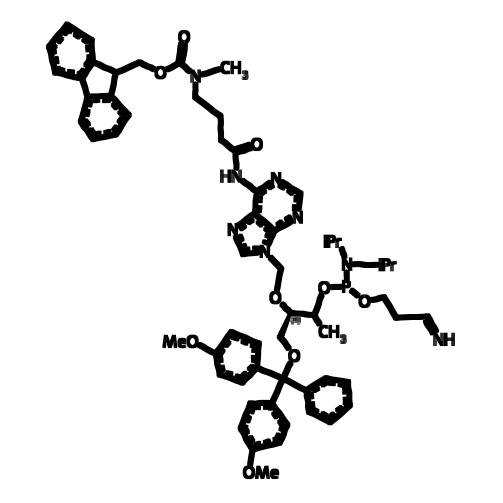 COc1ccc(C(OC[C@@H](OCn2cnc3c(NC(=O)CCCN(C)C(=O)OCC4c5ccccc5-c5ccccc54)ncnc32)C(C)OP(OCCC=N)N(C(C)C)C(C)C)(c2ccccc2)c2ccc(OC)cc2)cc1